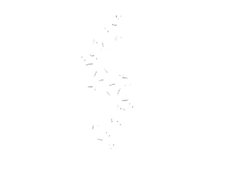 COC(=O)NC(C(=O)N1CCC[C@H]1c1nc(-c2ccc(-c3ccc(-c4c[nH]c([C@@H]5CCCN5C(=O)[C@@H](NC(=O)OC)C(C)C)n4)c4ocnc34)c3ncoc23)c[nH]1)C(C)C